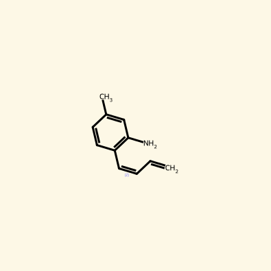 C=C/C=C\c1ccc(C)cc1N